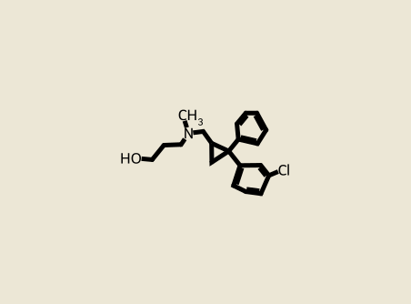 CN(CCCO)CC1CC1(c1ccccc1)c1cccc(Cl)c1